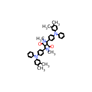 Cc1ccc(N(c2ccccc2)c2ccc(C3=C4C(=O)N(C)C(c5ccc(N(c6ccccc6)c6ccc(C)c(C)c6)cc5)=C4C(=O)N3C)cc2)cc1C